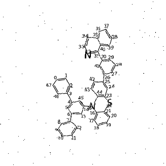 c1ccc(-c2cc(-c3ccccc3)cc(N3c4ccccc4Sc4cc(-c5cccc(-c6nccc7ccccc67)c5)ccc43)c2)cc1